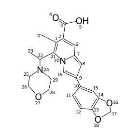 Cc1c(C(=O)O)cc2cc(-c3ccc4c(c3)OCO4)cn2c1C(C)N1CCOCC1